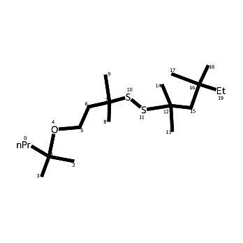 CCCC(C)(C)OCCC(C)(C)SSC(C)(C)CC(C)(C)CC